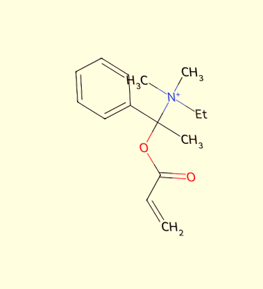 C=CC(=O)OC(C)(c1ccccc1)[N+](C)(C)CC